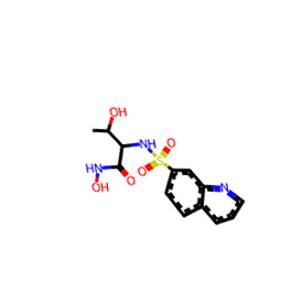 CC(O)C(NS(=O)(=O)c1ccc2cccnc2c1)C(=O)NO